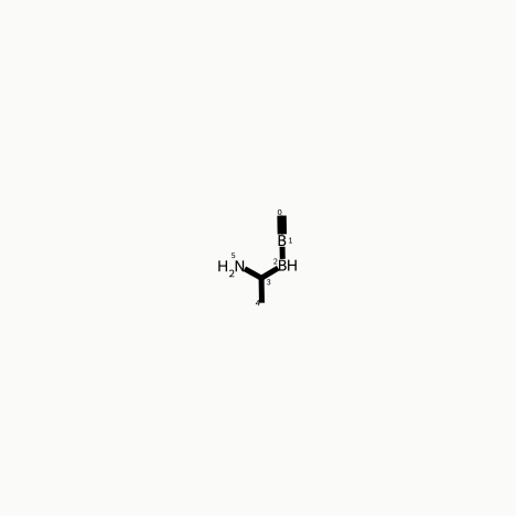 C=BBC(C)N